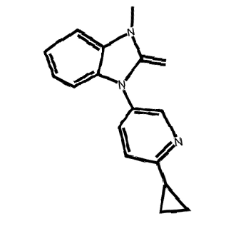 C=C1N(C)c2ccccc2N1c1ccc(C2CC2)nc1